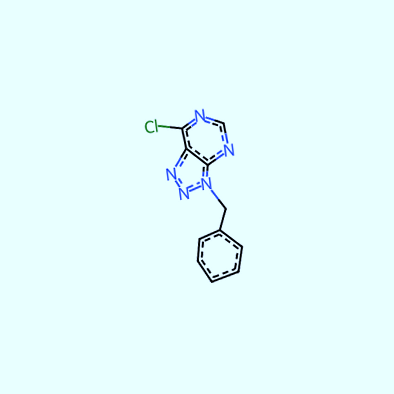 Clc1ncnc2c1nnn2Cc1ccccc1